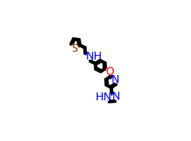 c1csc(CCNCc2ccc(Oc3ccc(C4=NCCN4)cn3)cc2)c1